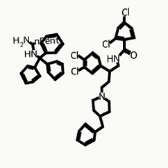 CCCCCC(N)NC(c1ccccc1)(c1ccccc1)c1ccccc1.O=C(NCC(CCN1CCC(Cc2ccccc2)CC1)c1ccc(Cl)c(Cl)c1)c1ccc(Cl)cc1Cl